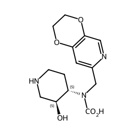 O=C(O)N(Cc1cc2c(cn1)OCCO2)[C@H]1CCNC[C@@H]1O